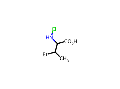 CCC(C)C(NCl)C(=O)O